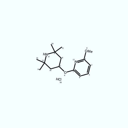 COc1cccc(OC2CC(C)(C)NC(C)(C)C2)n1.Cl